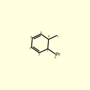 CC(C)C1C=CC=CC1C